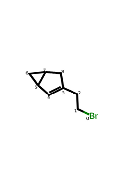 BrCCC1=CC2CC2C1